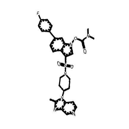 Cc1nc2cnccc2n1C1CCN(S(=O)(=O)c2cn(OC(=O)N(C)C)c3cc(-c4ccc(F)cc4)ccc23)CC1